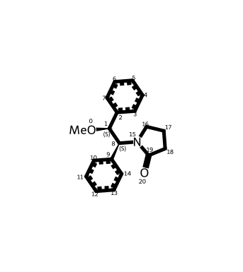 CO[C@@H](c1ccccc1)[C@H](c1ccccc1)N1CCCC1=O